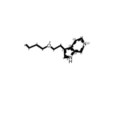 CCCCOCCc1c[nH]c2cnccc12